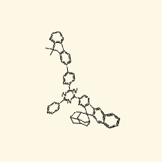 CC1(C)c2ccccc2-c2ccc(-c3ccc(-c4nc(-c5ccccc5)nc(-c5ccc6c(c5)C5(c7cc8ccccc8cc7-6)C6CC7CC(C6)CC5C7)n4)cc3)cc21